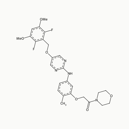 COc1cc(OC)c(F)c(COc2cnc(Nc3ccc(C)c(OCC(=O)N4CCOCC4)c3)nc2)c1F